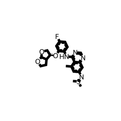 Cc1cc(N=S(C)C)cc2ncnc(Nc3ccc(F)cc3O[C@@H]3COC4OCCC43)c12